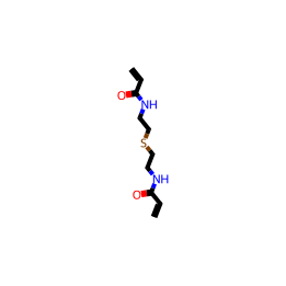 C=CC(=O)NCCSCCNC(=O)C=C